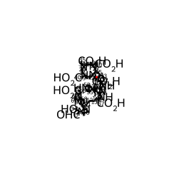 O=CC(CO)n1ccnc1CN(CCCC[C@H](Nc1nc(Nc2ccc(CC3CN(CC(=O)O)CCN(CC(=O)O)CCN(CC(=O)O)CCN3CC(=O)O)cc2)nc(N2CCNCC2)n1)C(=O)O)Cc1nccn1CC(=O)O